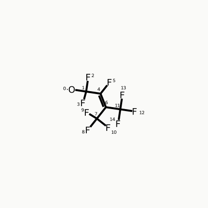 [O]C(F)(F)C(F)=C(C(F)(F)F)C(F)(F)F